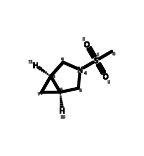 CS(=O)(=O)N1C[C@H]2[CH][C@H]2C1